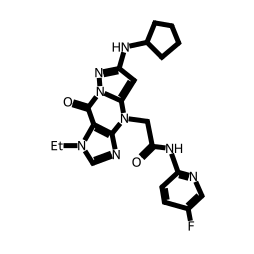 CCn1cnc2c1c(=O)n1nc(NC3CCCC3)cc1n2CC(=O)Nc1ccc(F)cn1